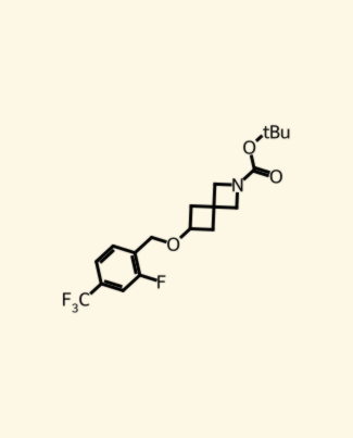 CC(C)(C)OC(=O)N1CC2(CC(OCc3ccc(C(F)(F)F)cc3F)C2)C1